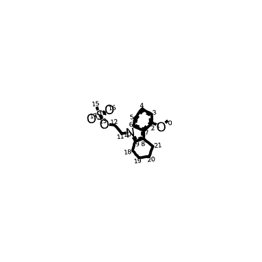 COc1cccc2c1c1c(n2CCOS(C)(=O)=O)CCCC1